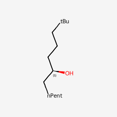 CCCCCC[C@H](O)CCCC(C)(C)C